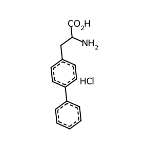 Cl.NC(Cc1ccc(-c2ccccc2)cc1)C(=O)O